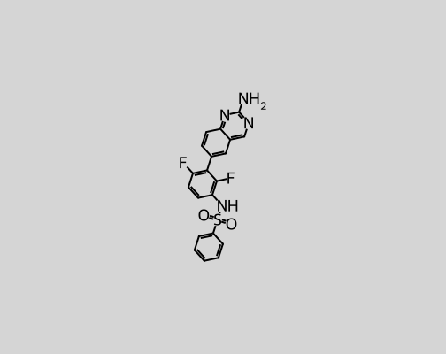 Nc1ncc2cc(-c3c(F)ccc(NS(=O)(=O)c4ccccc4)c3F)ccc2n1